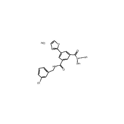 CCCN(CCC)C(=O)c1cc(C(=O)NCc2cccc(CC)c2)cc(-c2ncco2)c1.Cl